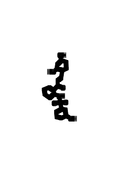 O=C(C=Cc1ccc(O)cc1O)c1ccccc1NS(=O)(=O)c1cccc(O)c1